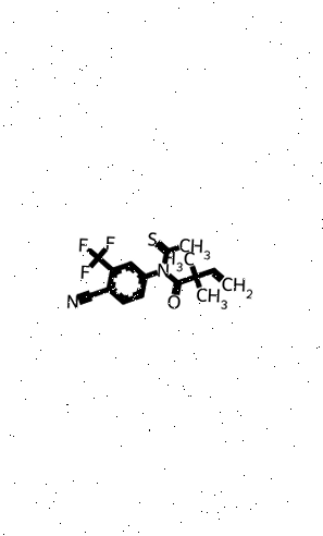 C=CC(C)(C)C(=O)N(C(C)=S)c1ccc(C#N)c(C(F)(F)F)c1